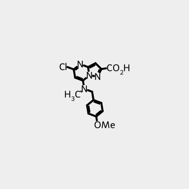 COc1ccc(CN(C)c2cc(Cl)nc3cc(C(=O)O)nn23)cc1